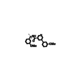 COc1cccc(-c2cncc(C(=O)N[C@@H](C)c3cccc(OC)c3)c2)c1